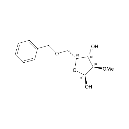 CO[C@@H]1[C@@H](O)[C@@H](COCc2ccccc2)O[C@@H]1O